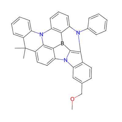 COCc1ccc2c3c4n(c2c1)-c1ccc2c5c1B4c1c(cccc1N3c1ccccc1)N5c1ccccc1C2(C)C